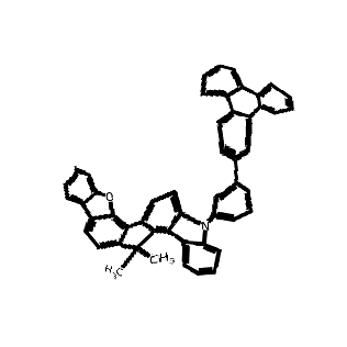 CC1(C)c2ccc3c(oc4ccccc43)c2-c2ccc3c(c21)c1ccccc1n3-c1cccc(-c2ccc3c4ccccc4c4ccccc4c3c2)c1